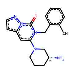 N#Cc1ccccc1Cn1c(N2CCC[C@@H](N)C2)cc2ccnn2c1=O